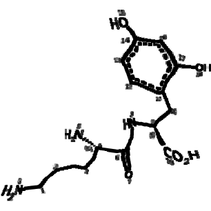 NCCC[C@H](N)C(=O)N[C@@H](Cc1ccc(O)cc1O)C(=O)O